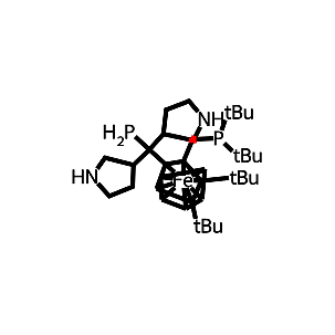 CC(C)(C)P(C[C]12[C]3(C(P)(C4CCNC4)C4CCNC4)[CH]4[C]5(C(C)(C)C)[C]1(C(C)(C)C)[Fe]42351678[CH]2[CH]1[CH]6[CH]7[CH]28)C(C)(C)C